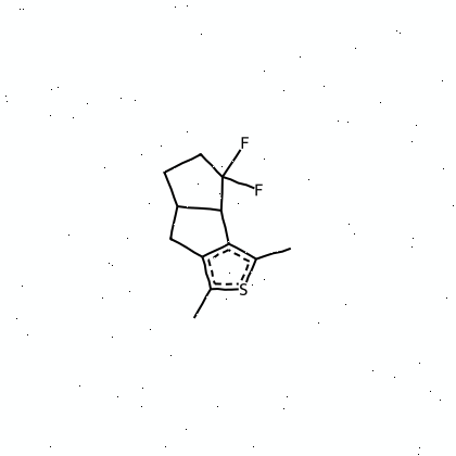 Cc1sc(C)c2c1CC1CCC(F)(F)C21